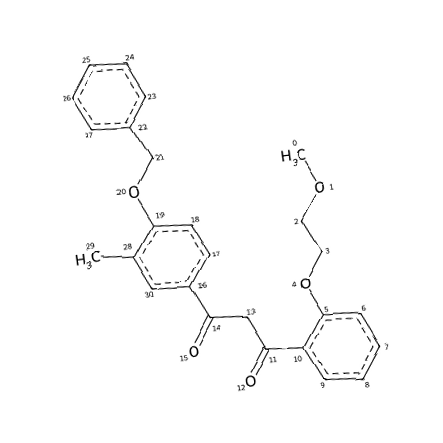 COCCOc1ccccc1C(=O)CC(=O)c1ccc(OCc2ccccc2)c(C)c1